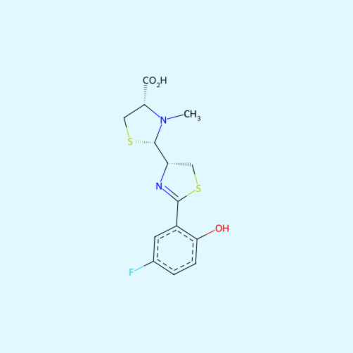 CN1[C@@H](C(=O)O)CS[C@H]1[C@@H]1CSC(c2cc(F)ccc2O)=N1